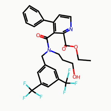 CCOC(=O)c1nccc(-c2ccccc2)c1C(=O)N(CCCO)Cc1cc(C(F)(F)F)cc(C(F)(F)F)c1